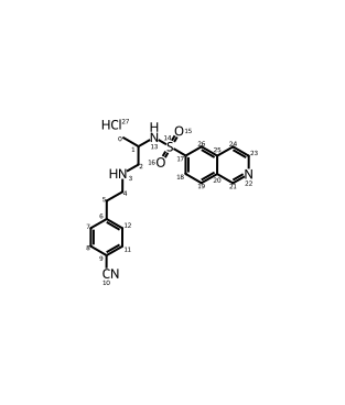 CC(CNCCc1ccc(C#N)cc1)NS(=O)(=O)c1ccc2cnccc2c1.Cl